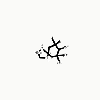 CCC1(CC)CC2(CC(C)(C)C1[O])OCNO2